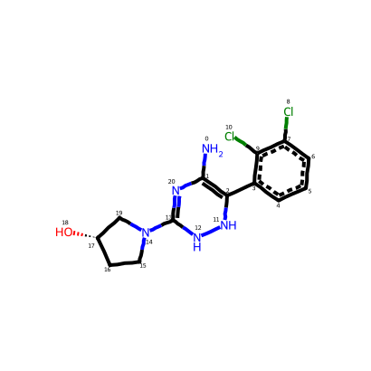 NC1=C(c2cccc(Cl)c2Cl)NNC(N2CC[C@H](O)C2)=N1